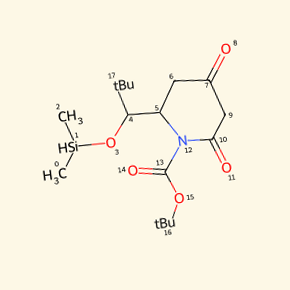 C[SiH](C)OC(C1CC(=O)CC(=O)N1C(=O)OC(C)(C)C)C(C)(C)C